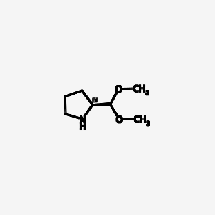 COC(OC)[C@@H]1CCCN1